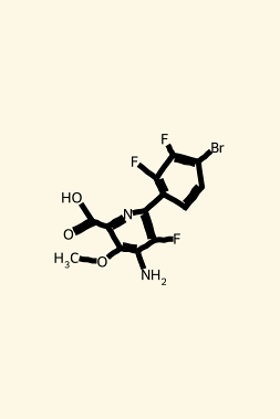 COc1c(C(=O)O)nc(-c2ccc(Br)c(F)c2F)c(F)c1N